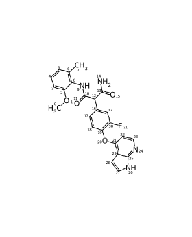 COc1cccc(C)c1NC(=O)C(C(N)=O)c1ccc(Oc2ccnc3[nH]ccc23)c(F)c1